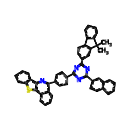 CC1(C)c2ccccc2-c2ccc(-c3nc(-c4ccc(-c5nc6c7ccccc7sc6c6ccccc56)cc4)nc(-c4ccc5ccccc5c4)n3)cc21